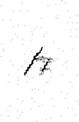 CCCCCCCCCCC(CCCCCCCC)COP(=O)(O)O.N=C(N)NCCCC(N)C(=O)O